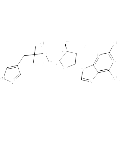 Nc1nc(Cl)nc2c1ncn2[C@@H]1O[C@H](COC(Cc2cn[nH]c2)(C(=O)O)C(=O)O)[C@@H](O)[C@@H]1F